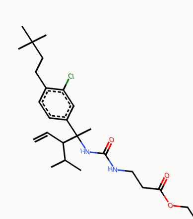 C=CC(C(C)C)C(C)(NC(=O)NCCC(=O)OCC)c1ccc(CCC(C)(C)C)c(Cl)c1